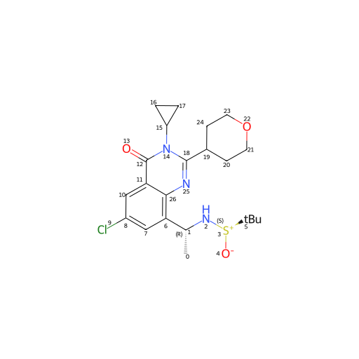 C[C@@H](N[S@+]([O-])C(C)(C)C)c1cc(Cl)cc2c(=O)n(C3CC3)c(C3CCOCC3)nc12